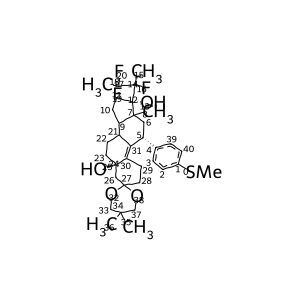 CSc1ccc([C@H]2CC3(C)C(CC[C@@]3(O)C(C)(F)C(C)(F)F)C3CC[C@@]4(O)CC5(CCC4=C32)OCC(C)(C)CO5)cc1